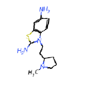 CN1CCCC1CCN1c2ccc(N)cc2SC1N